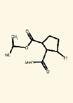 [CH2]CC1C[CH]C(C(=O)OC(C)C#N)C1C(=O)OC